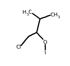 CC(C)C(CCl)OI